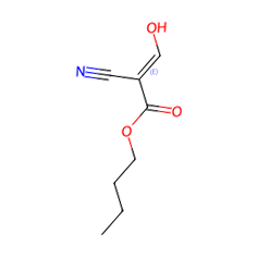 CCCCOC(=O)/C(C#N)=C/O